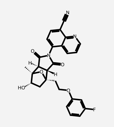 C[C@]12O[C@](CCOc3cccc(F)c3)(C[C@@H]1O)[C@H]1C(=O)N(c3ccc(C#N)c4ncccc34)C(=O)[C@@H]12